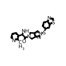 Cc1ncccc1C(N)C(=O)N1Cc2cn(Sc3ccc4ncsc4c3)nc2C1